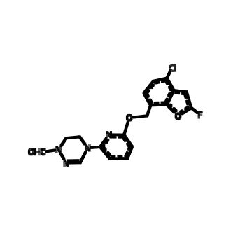 O=CN1CCN(c2cccc(OCc3ccc(Cl)c4cc(F)oc34)n2)C=N1